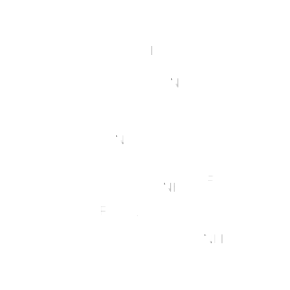 O=C(N[C@H]1CCNC[C@H]1F)c1cn(Cc2ccnc(F)c2)c2cccc(F)c12